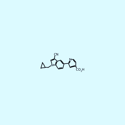 N#Cc1cn(CC2CC2)c2ccc(-c3cc(C(=O)O)ccn3)cc12